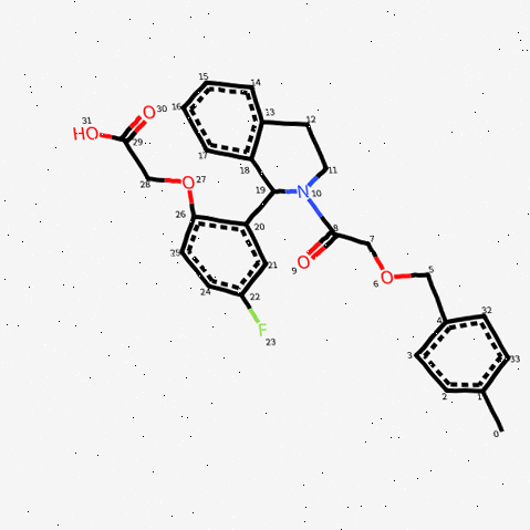 Cc1ccc(COCC(=O)N2CCc3ccccc3C2c2cc(F)ccc2OCC(=O)O)cc1